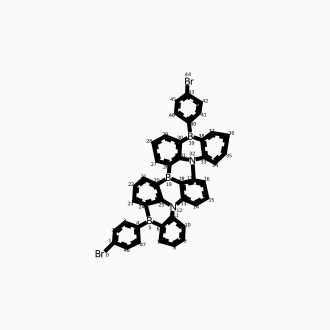 Brc1ccc(B2c3ccccc3N3c4cccc5c4B(c4cccc2c43)c2cccc3c2N5c2ccccc2B3c2ccc(Br)cc2)cc1